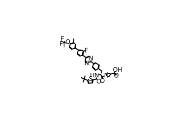 Cc1cc(-c2ccc(-c3cnc(-c4ccc(C[C@H](NC(=O)c5ccc(C(C)(C)C)s5)C(=O)N5CC(C(=O)O)C5)cc4)nc3)c(F)c2)ccc1OC(F)(F)F